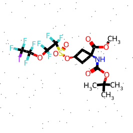 COC(=O)[C@]1(NC(=O)OC(C)(C)C)C[C@@H](OS(=O)(=O)C(F)(F)C(F)(F)OC(F)(F)C(F)(F)I)C1